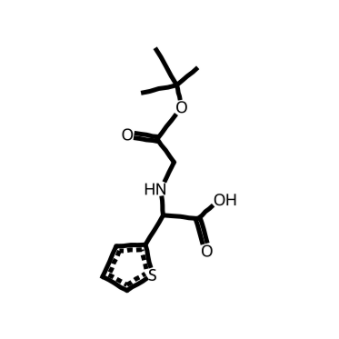 CC(C)(C)OC(=O)CNC(C(=O)O)c1cccs1